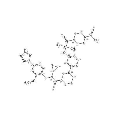 COc1cc(-c2cn[nH]c2)ccc1CN(C(=O)[C@@H]1CCCN(c2cccc(OC(C)(C)C(=O)N3CCN(C(=O)O)CC3)c2)C1)C1CC1